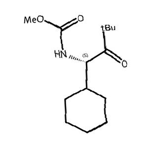 COC(=O)N[C@H](C(=O)C(C)(C)C)C1CCCCC1